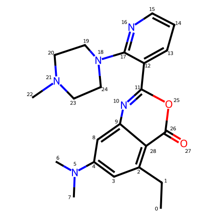 CCc1cc(N(C)C)cc2nc(-c3cccnc3N3CCN(C)CC3)oc(=O)c12